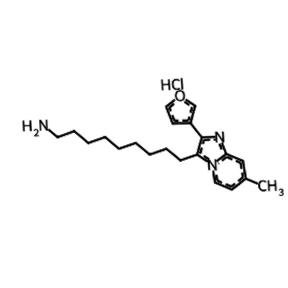 Cc1ccn2c(CCCCCCCCCN)c(-c3ccoc3)nc2c1.Cl